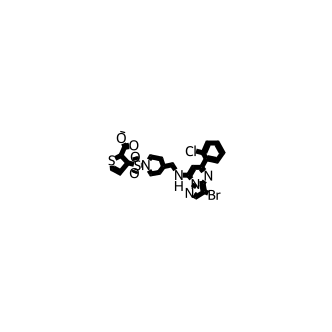 COC(=O)C1SC=CC1S(=O)(=O)N1CCC(CNc2cc(-c3ccccc3Cl)nc3c(Br)cnn23)CC1